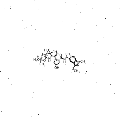 COc1nn(C)c2ccc([C@H](C)NC(=O)[C@@H]3C[C@@H](O)CN3C(=O)[C@@H](NC(=O)OC(C)(C)C)C(C)(C)C)cc12